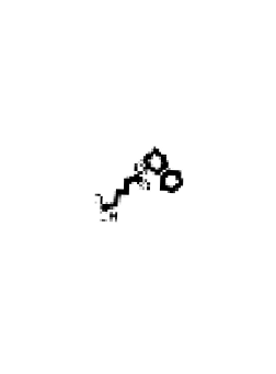 C1CCCCC1.C1CCCCC1.O=C(O)CCCCC(=O)O